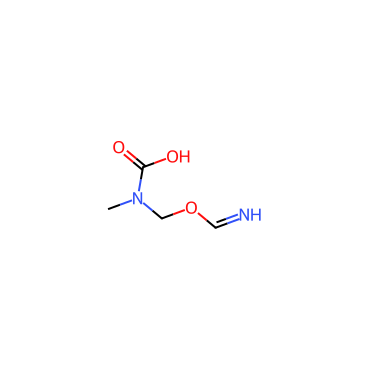 CN(COC=N)C(=O)O